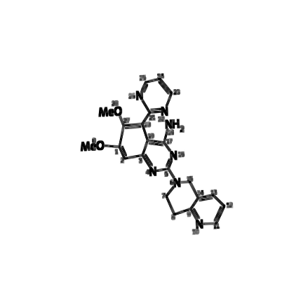 COc1cc2nc(N3CCc4ncccc4C3)nc(N)c2c(-c2ncccn2)c1OC